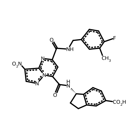 Cc1cc(CNC(=O)c2cc(C(=O)N[C@H]3CCc4cc(C(=O)O)ccc43)n3ncc([N+](=O)[O-])c3n2)ccc1F